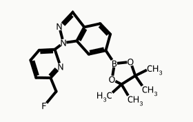 CC1(C)OB(c2ccc3cnn(-c4cccc(CF)n4)c3c2)OC1(C)C